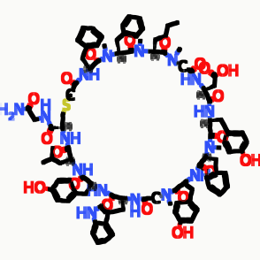 CCCC[C@H]1C(=O)N(C)CC(=O)N[C@@H](CC(=O)O)C(=O)N[C@@H](Cc2ccc(O)cc2)C(=O)N(C)[C@@H](Cc2ccccc2)C(=O)NC(Cc2ccc(O)cc2)C(=O)N(C)CC(=O)N[C@@H](Cc2c[nH]c3ccccc23)C(=O)N[C@@H](Cc2ccc(O)cc2)C(=O)N[C@@H](CC(C)C)C(=O)N[C@H](C(=O)NCC(N)=O)CSCC(=O)N[C@@H](Cc2ccccc2)C(=O)N(C)[C@@H](Cc2ccccc2)C(=O)N1C